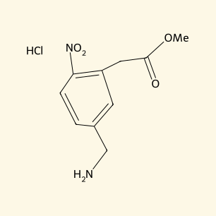 COC(=O)Cc1cc(CN)ccc1[N+](=O)[O-].Cl